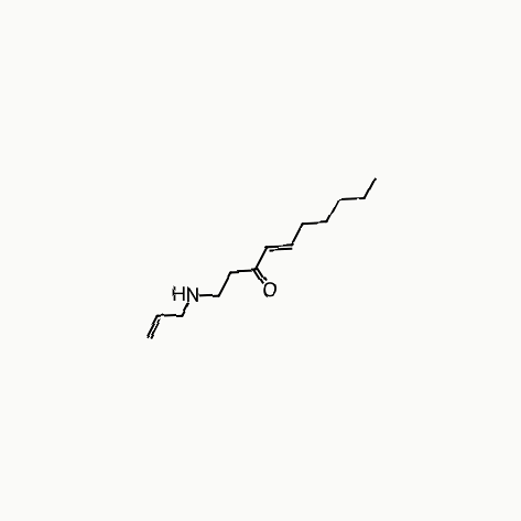 C=CCNCCC(=O)C=CCCCCC